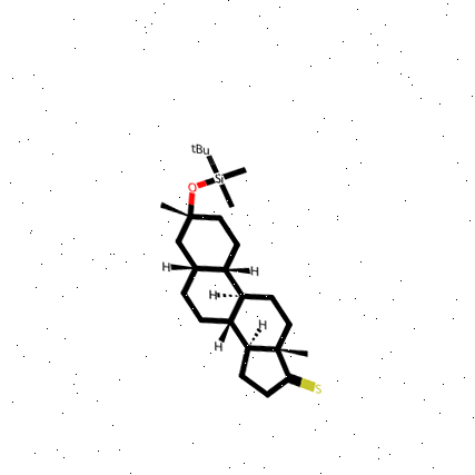 CC(C)(C)[Si](C)(C)O[C@]1(C)CC[C@H]2[C@H](CC[C@@H]3[C@@H]2CC[C@]2(C)C(=S)CC[C@@H]32)C1